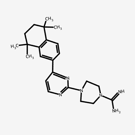 CC1(C)CCC(C)(C)c2cc(-c3ccnc(N4CCN(C(=N)N)CC4)n3)ccc21